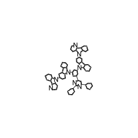 c1ccc(-c2cc(-c3cc(-n4c5ccccc5c5cc(-n6c7ccccc7c7ncccc76)ccc54)cc(-n4c5ccccc5c5cc(-n6c7ccccc7c7ncccc76)ccc54)c3)nc(-c3ccccc3)n2)cc1